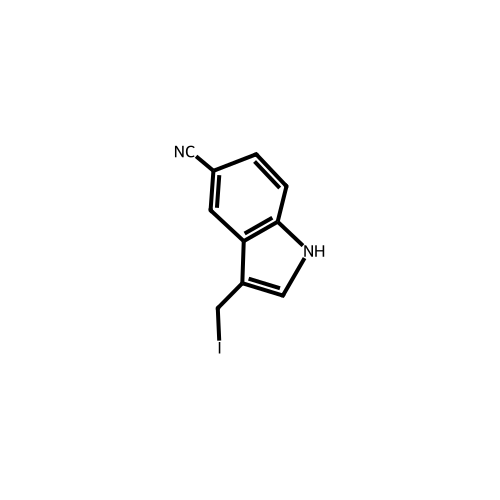 N#Cc1ccc2[nH]cc(CI)c2c1